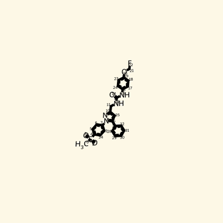 CS(=O)(=O)c1ccc(-n2nc(CNC(=O)Nc3ccc(OCF)cc3)cc2-c2ccccc2)cc1